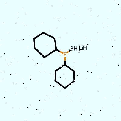 BP(C1CCCCC1)C1CCCCC1.[LiH]